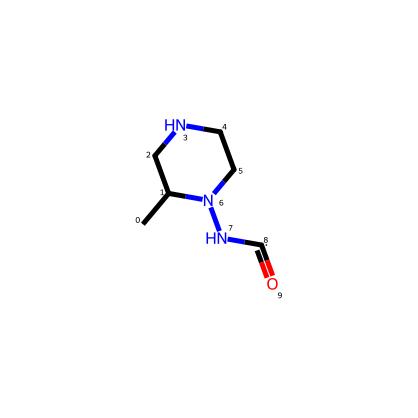 CC1CNCCN1N[C]=O